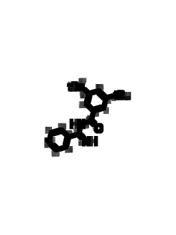 CC(C)(C)c1cc(C(=O)NC(=N)c2ccncc2)cc(C(C)(C)C)c1